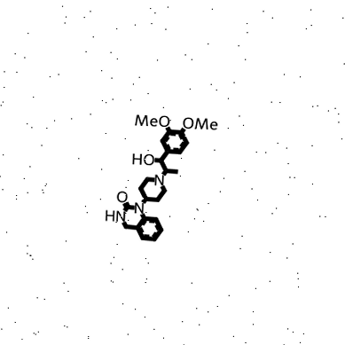 COc1ccc(C(O)C(C)N2CCC(N3C(=O)NCc4ccccc43)CC2)cc1OC